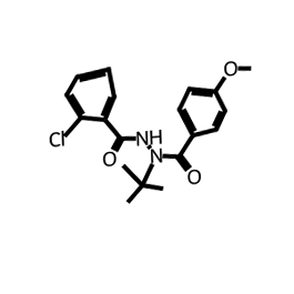 COc1ccc(C(=O)N(NC(=O)c2ccccc2Cl)C(C)(C)C)cc1